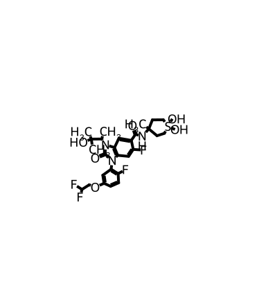 CC(n1c(=O)n(-c2cc(OCC(F)F)ccc2F)c2cc(F)c(C(=O)NC3(C)CCS(O)(O)CC3)cc21)C(C)(C)O